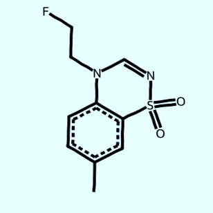 Cc1ccc2c(c1)S(=O)(=O)N=CN2CCF